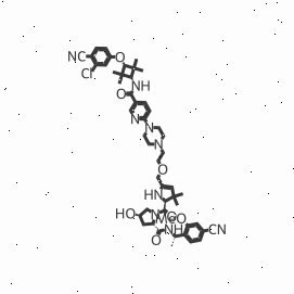 COc1cc(C#N)ccc1[C@H](C)NC(=O)[C@@H]1C[C@@H](O)CN1C(=O)[C@H]1NC(COCCN2CCN(c3ccc(C(=O)N[C@H]4C(C)(C)[C@H](Oc5ccc(C#N)c(Cl)c5)C4(C)C)cn3)CC2)=CC1(C)C